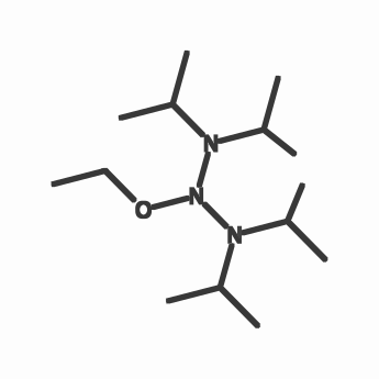 CCON(N(C(C)C)C(C)C)N(C(C)C)C(C)C